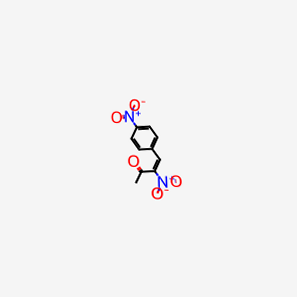 CC(=O)/C(=C\c1ccc([N+](=O)[O-])cc1)[N+](=O)[O-]